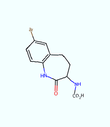 O=C(O)NC1CCc2cc(Br)ccc2NC1=O